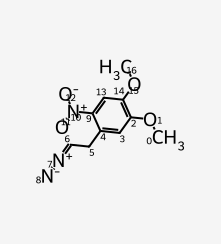 COc1cc(CC=[N+]=[N-])c([N+](=O)[O-])cc1OC